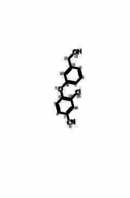 N#Cc1ccc(Oc2cccc(CO)c2)c(Cl)c1